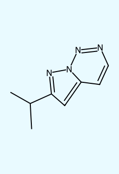 CC(C)c1cc2ccnnn2n1